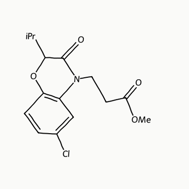 COC(=O)CCN1C(=O)C(C(C)C)Oc2ccc(Cl)cc21